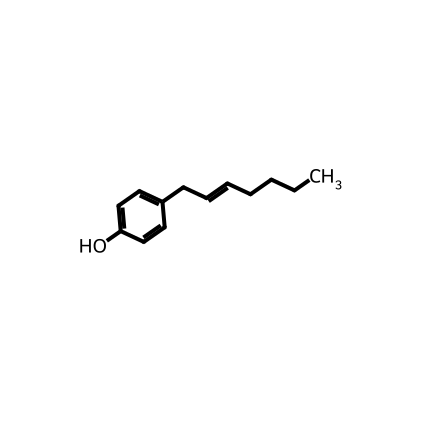 CCCCC=CCc1ccc(O)cc1